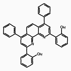 Oc1ccccc1-c1cc(-c2ccccc2)c2ccc3c(-c4ccccc4)cc(-c4ccccc4O)nc3c2n1